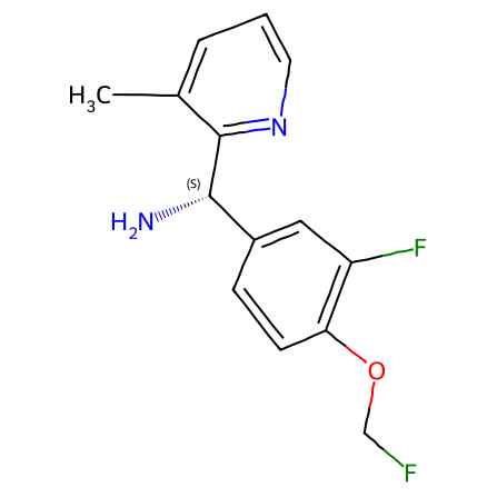 Cc1cccnc1[C@@H](N)c1ccc(OCF)c(F)c1